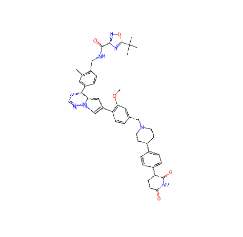 COc1cc(CN2CCC(c3ccc(C4CCC(=O)NC4=O)cc3)CC2)ccc1-c1cc2c(-c3ccc(CNC(=O)c4noc(C(C)(C)C)n4)c(C)c3)ncnn2c1